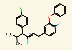 CC(C)C(/C(F)=C/Cc1ccc(F)c(Oc2ccccc2)c1)c1ccc(Cl)cc1